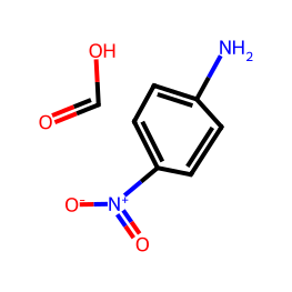 Nc1ccc([N+](=O)[O-])cc1.O=CO